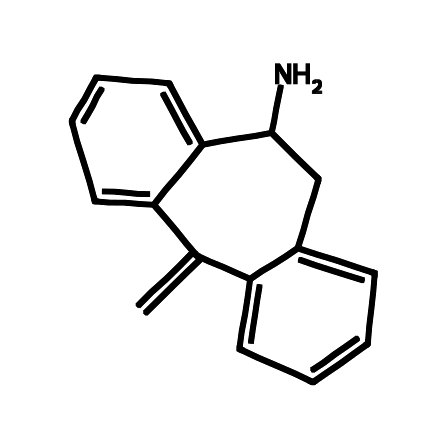 C=C1c2ccccc2CC(N)c2ccccc21